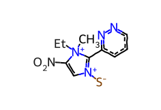 CC[N+]1(C)C([N+](=O)[O-])=C[N+]([S-])=C1c1cccnn1